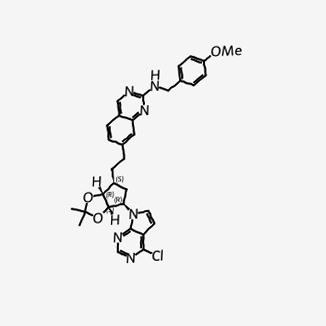 COc1ccc(CNc2ncc3ccc(CC[C@H]4C[C@@H](n5ccc6c(Cl)ncnc65)[C@@H]5OC(C)(C)O[C@H]45)cc3n2)cc1